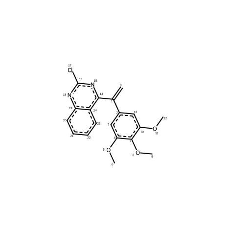 C=C(c1cc(OC)c(OC)c(OC)c1)c1nc(Cl)nc2ccccc12